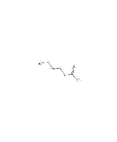 CC(=O)CNCCC(N)=O